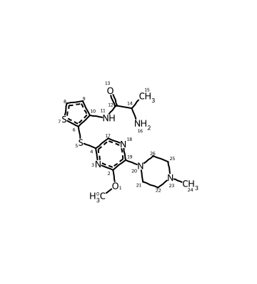 COc1nc(Sc2sccc2NC(=O)C(C)N)cnc1N1CCN(C)CC1